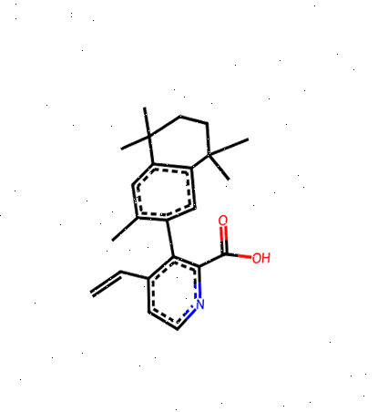 C=Cc1ccnc(C(=O)O)c1-c1cc2c(cc1C)C(C)(C)CCC2(C)C